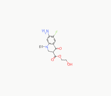 CCN1CC(C(=O)OCCO)C(=O)c2cc(F)c(N)cc21